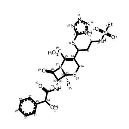 CCS(=O)(=O)NCCC(Sc1nnn[nH]1)C1=C(C(=O)O)N2C(=O)[C@@H](NC(=O)C(O)c3ccccc3)[C@@H]2SC1